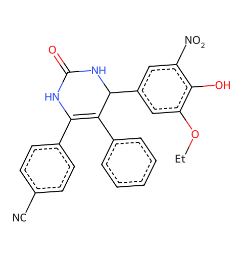 CCOc1cc(C2NC(=O)NC(c3ccc(C#N)cc3)=C2c2ccccc2)cc([N+](=O)[O-])c1O